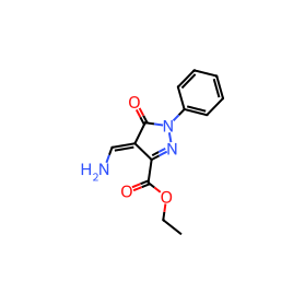 CCOC(=O)C1=NN(c2ccccc2)C(=O)/C1=C/N